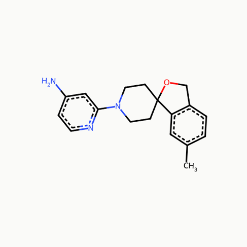 Cc1ccc2c(c1)C1(CCN(c3cc(N)ccn3)CC1)OC2